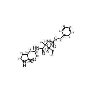 CCC(C)(C)C(C)(NC(=O)OCc1ccccc1)C(=O)NC(CO)CC1CCNC1=O